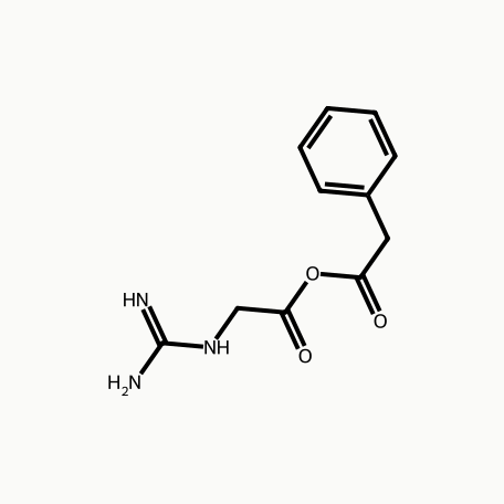 N=C(N)NCC(=O)OC(=O)Cc1ccccc1